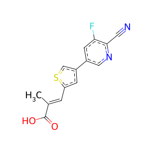 C/C(=C\c1cc(-c2cnc(C#N)c(F)c2)cs1)C(=O)O